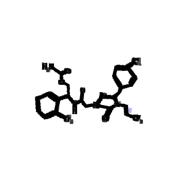 NC(=O)OCC(NC(=O)Cn1nc(-c2ccc(Cl)cc2)n(/C=C/C(F)(F)F)c1=O)c1ccccc1C(F)(F)F